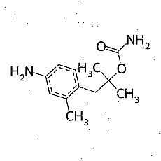 Cc1cc(N)ccc1CC(C)(C)OC(N)=O